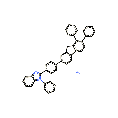 N.c1ccc(-c2ccc3c(c2-c2ccccc2)Cc2cc(-c4ccc(-c5nc6ccccc6n5-c5ccccc5)cc4)ccc2-3)cc1